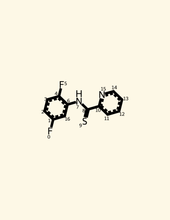 Fc1ccc(F)c(NC(=S)c2ccccn2)c1